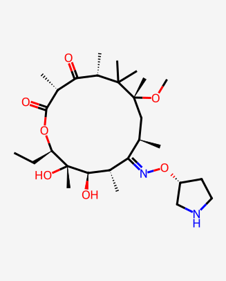 CC[C@H]1OC(=O)[C@H](C)C(=O)[C@H](C)C(C)(C)[C@](C)(OC)C[C@@H](C)/C(=N\O[C@@H]2CCNC2)[C@H](C)[C@@H](O)[C@]1(C)O